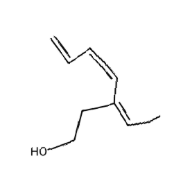 C=C/C=C\C(=C/C)CCO